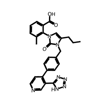 CCCc1cn(-c2c(C)cccc2C(=O)O)c(=O)n1Cc1ccc(-c2ccncc2-c2nnn[nH]2)cc1